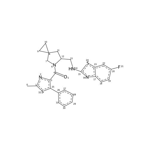 Cc1nc(C(=O)N2CC3(CC3)CC2CNc2nc3ccc(F)cc3s2)c(-c2ccccc2)s1